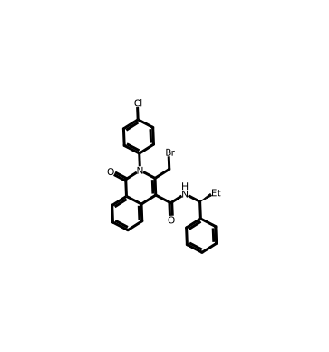 CC[C@H](NC(=O)c1c(CBr)n(-c2ccc(Cl)cc2)c(=O)c2ccccc12)c1ccccc1